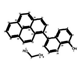 CCO.Oc1cccc2c(-c3ccc4ccc5cccc6ccc3c4c56)ccnc12